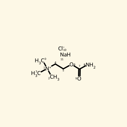 C[N+](C)(C)CCOC(N)=O.[Cl-].[NaH]